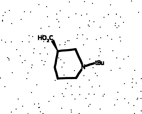 CC(C)(C)N1CCC[C@@H](C(=O)O)C1